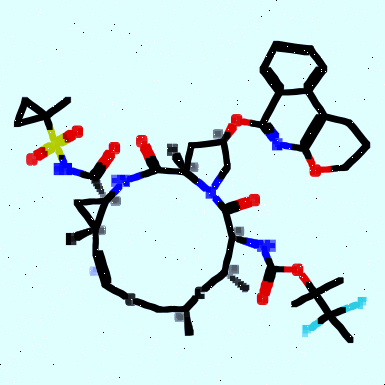 C[C@H]1CC/C=C\[C@@H]2C[C@@]2(C(=O)NS(=O)(=O)C2(C)CC2)NC(=O)[C@@H]2C[C@@H](Oc3nc4c(c5ccccc35)CCCO4)CN2C(=O)[C@@H](NC(=O)OC(C)(C)C(C)(F)F)[C@H](C)C1